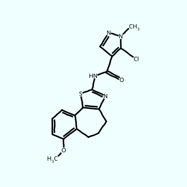 COc1cccc2c1CCCc1nc(NC(=O)c3cnn(C)c3Cl)sc1-2